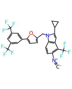 [C-]#[N+]c1ccc2c(cc(C3CC3)n2Cc2ccc(-c3cc(C(F)(F)F)cc(C(F)(F)F)c3)o2)c1C(F)(F)F